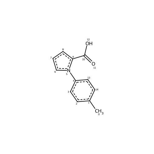 Cc1ccc(-n2cccc2C(=O)O)cc1